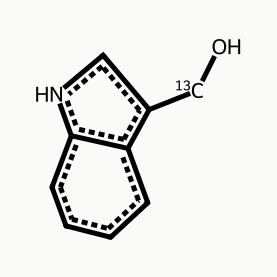 O[13CH2]c1c[nH]c2ccccc12